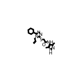 C=CCn1c(SCC(=O)Nc2c(C)n[nH]c2C)nnc1C1CCCCC1